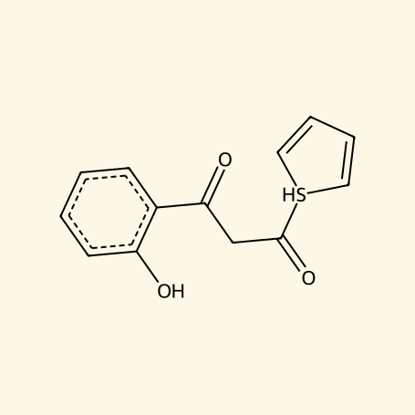 O=C(CC(=O)[SH]1C=CC=C1)c1ccccc1O